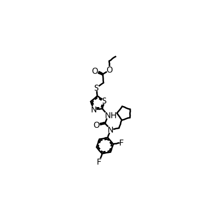 CCOC(=O)CSc1cnc(NC(=O)N(CC2CCCC2)c2ccc(F)cc2F)s1